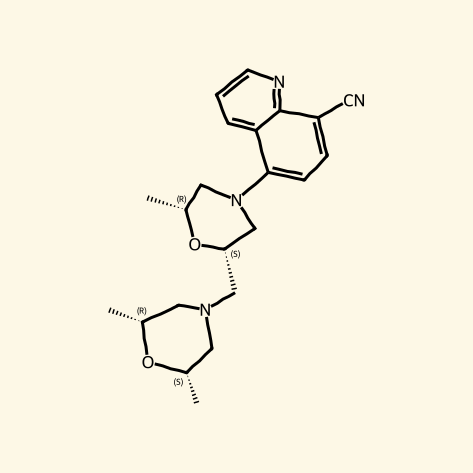 C[C@@H]1CN(c2ccc(C#N)c3ncccc23)C[C@H](CN2C[C@@H](C)O[C@@H](C)C2)O1